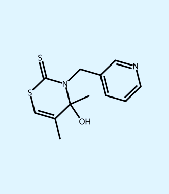 CC1=CSC(=S)N(Cc2cccnc2)C1(C)O